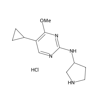 COc1nc(NC2CCNC2)ncc1C1CC1.Cl